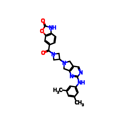 Cc1cc(C)cc(Nc2ncc3c(n2)CN(C2CN(C(=O)c4ccc5[nH]c(=O)oc5c4)C2)C3)c1